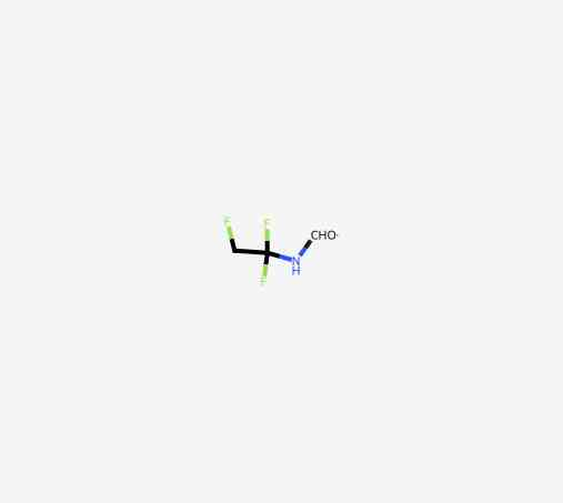 O=[C]NC(F)(F)CF